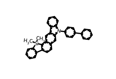 C[Si]1(C)c2ccccc2-c2ccc3cc4c(cc3c21)c1ccccc1n4-c1ccc(-c2ccccc2)cc1